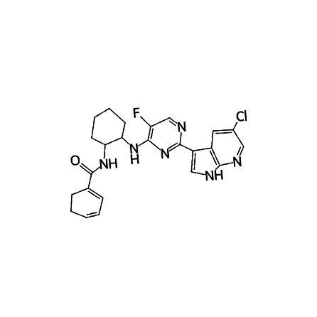 O=C(NC1CCCCC1Nc1nc(-c2c[nH]c3ncc(Cl)cc23)ncc1F)C1=CC=CCC1